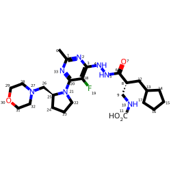 Cc1nc(NNC(=O)[C@@H](CNC(=O)O)CC2CCCC2)c(F)c(N2CCC[C@H]2CN2CCOCC2)n1